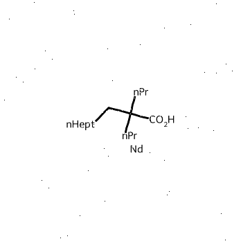 CCCCCCCCC(CCC)(CCC)C(=O)O.[Nd]